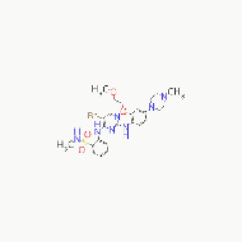 CNS(=O)(=O)c1ccccc1Nc1nc(Nc2ccc(N3CCN(C)CC3)cc2OCCOC)ncc1Br